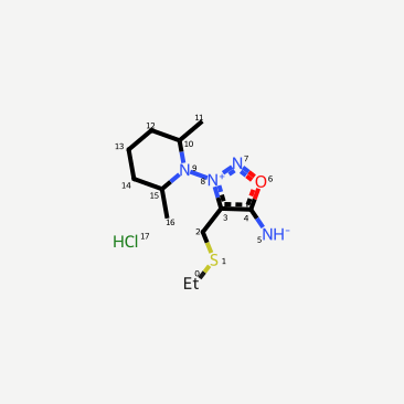 CCSCc1c([NH-])on[n+]1N1C(C)CCCC1C.Cl